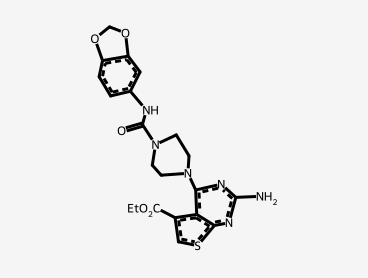 CCOC(=O)c1csc2nc(N)nc(N3CCN(C(=O)Nc4ccc5c(c4)OCO5)CC3)c12